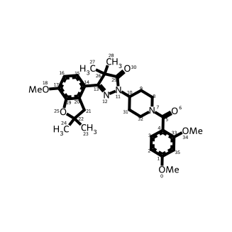 COc1ccc(C(=O)N2CCC(N3N=C(c4ccc(OC)c5c4CC(C)(C)O5)C(C)(C)C3=O)CC2)c(OC)c1